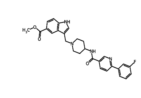 COC(=O)c1ccc2[nH]cc(CN3CCC(NC(=O)c4ccc(-c5cccc(F)c5)nc4)CC3)c2c1